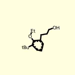 CCOc1c(CCCO)cccc1C(C)(C)C